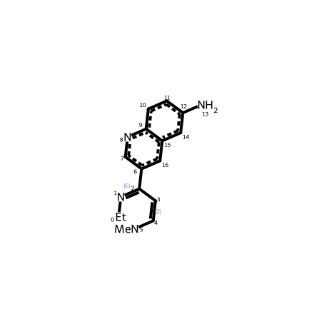 CC/N=C(\C=C/NC)c1cnc2ccc(N)cc2c1